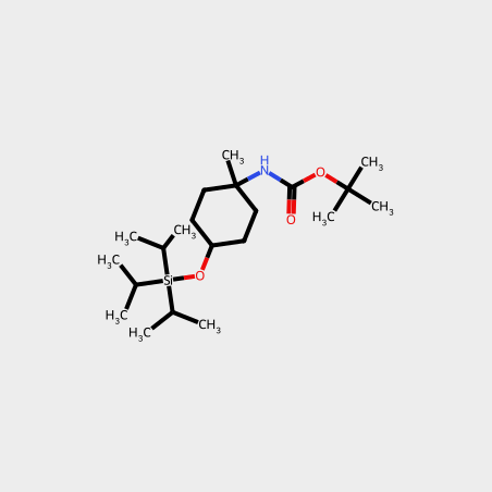 CC(C)[Si](OC1CCC(C)(NC(=O)OC(C)(C)C)CC1)(C(C)C)C(C)C